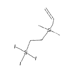 C=C[Si](C)(C)CC[Si](I)(I)I